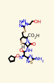 Nc1nc(/C(=N/OC2C=CCC2)C(=O)NC2C(=O)N3C(C(=O)O)=C(CSc4nnnn4CCO)CS[C@H]23)ns1